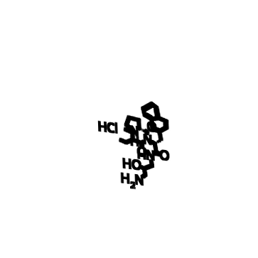 CCC(CC)C(=O)N(C(=O)[C@H]1CCCN1)[C@H](Cc1ccc2ccccc2c1)C(=O)NCC(O)CN.Cl